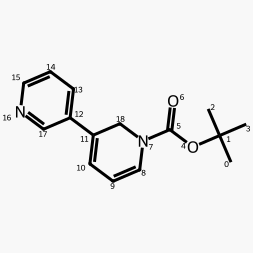 CC(C)(C)OC(=O)N1C=CC=C(c2cccnc2)C1